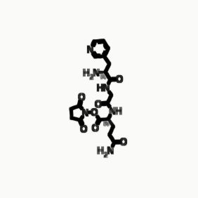 NC(=O)CC[C@H](NC(=O)CNC(=O)[C@@H](N)Cc1cccnc1)C(=O)ON1C(=O)CCC1=O